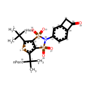 CCCCCCC(C)(C)c1sc(C(C)(C)CCCCC)c2c1S(=O)(=O)N(c1ccc3c(c1)CC3=O)S2(=O)=O